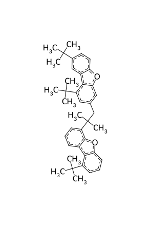 CC(C)(C)c1ccc2oc3cc(CC(C)(C)c4cccc5c4oc4cccc(C(C)(C)C)c45)cc(C(C)(C)C)c3c2c1